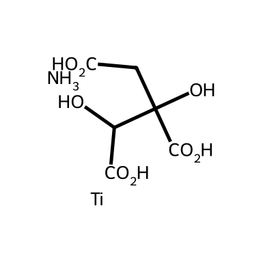 N.O=C(O)CC(O)(C(=O)O)C(O)C(=O)O.[Ti]